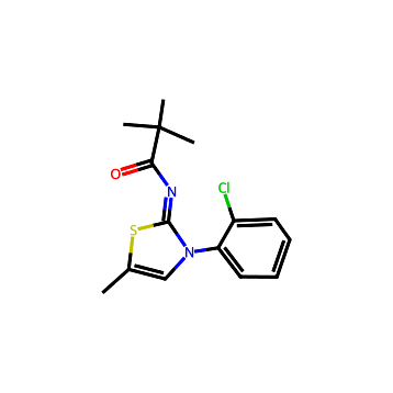 Cc1cn(-c2ccccc2Cl)c(=NC(=O)C(C)(C)C)s1